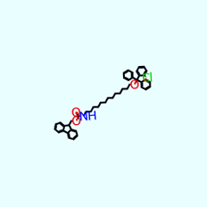 O=C(NCCCCCCCCCCCCCOC(c1ccccc1)(c1ccccc1)c1ccccc1Cl)OCC1c2ccccc2-c2ccccc21